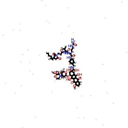 CCCCC(C)(I)C1CC(=O)N(CCC(=O)N[C@H](C(=O)N[C@@H](CCCNC(N)=O)C(=O)Nc2ccc(CNC(O)[C@]3(O)Cc4c(O)c5c(c(O)c4[C@@H](O[C@H]4C[C@H]6[C@H](O[C@@H]7[C@@H](OC)OCCN76)[C@H](C)O4)C3)C(=O)c3c(OC)cccc3C5=O)cc2)C(C)C)C1=O